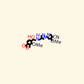 COc1cc(-n2cc(CNCC(O)c3ccc4c(c3OC)COC4=O)cn2)ncc1C#N